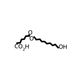 O=C(O)CCCCCC(=O)OCCCCCCCCCCO